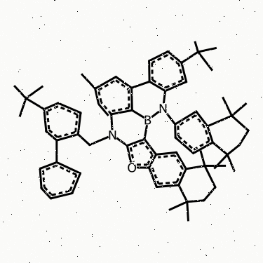 Cc1cc2c3c(c1)N(Cc1ccc(C(C)(C)C)cc1-c1ccccc1)c1oc4cc5c(cc4c1B3N(c1ccc3c(c1)C(C)(C)CCC3(C)C)c1cc(C(C)(C)C)ccc1-2)C(C)(C)CCC5(C)C